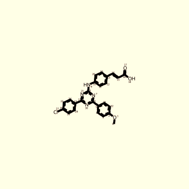 COc1ccc(-c2nc(Nc3ccc(C=CC(=O)O)cc3)nc(-c3ccc(Cl)cc3)n2)cc1